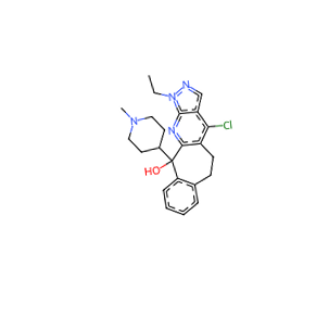 CCn1ncc2c(Cl)c3c(nc21)C(O)(C1CCN(C)CC1)c1ccccc1CC3